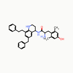 Cc1cc(O)cc(C)c1CC(N)C(=O)NC1CCNc2c(CCc3ccccc3)cc(Cc3ccccc3)cc21